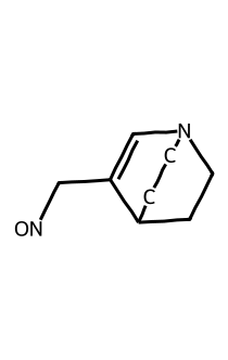 O=NCC1=CN2CCC1CC2